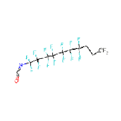 O=C=NC(F)(F)C(F)(F)C(F)(F)C(F)(F)C(F)(F)C(F)(F)C(F)(F)CCC(F)(F)F